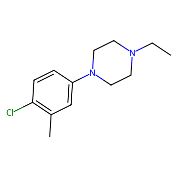 CCN1CCN(c2ccc(Cl)c(C)c2)CC1